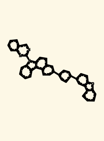 c1ccc2nc(-n3c4ccccc4c4c5ccc(-c6ccc(-c7ccc8oc9ccccc9c8c7)cc6)cc5ccc43)ncc2c1